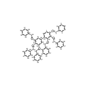 [c]1cc(OCc2ccccc2)c(OCc2ccccc2)c(OCc2ccccc2)c1-c1cc(OCc2ccccc2)c(OCc2ccccc2)c(OCc2ccccc2)c1